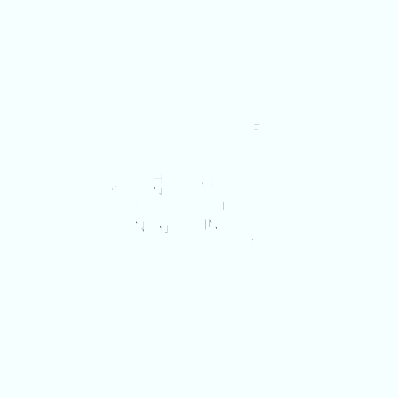 Cn1nc(C(=O)NCC2(Cc3ccc(F)cc3F)CCC2)[nH]c1=S